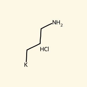 Cl.NCC[CH2][K]